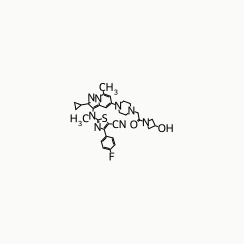 Cc1cc(N2CCN(CC(=O)N3CC(O)C3)CC2)cc2c(N(C)c3nc(-c4ccc(F)cc4)c(C#N)s3)c(C3CC3)nn12